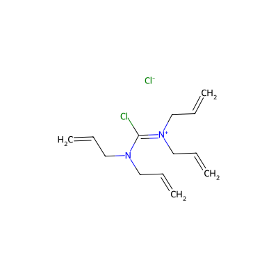 C=CCN(CC=C)C(Cl)=[N+](CC=C)CC=C.[Cl-]